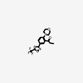 CCC(=O)c1cc(-c2noc(C(F)(F)F)n2)ccc1N1CCOCC1